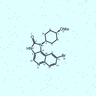 CO[C@H]1CC[C@@H](n2c(=O)[nH]c3cnc4ccc(Br)cc4c32)CC1